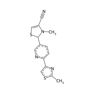 Cc1nc(-c2ccc(C3SC=C(C#N)N3C)cn2)cs1